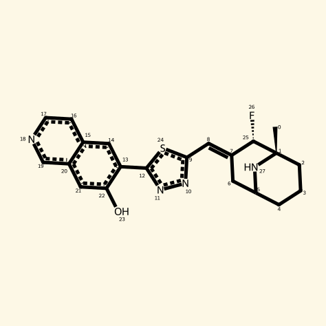 C[C@]12CCCC(C/C(=C\c3nnc(-c4cc5ccncc5cc4O)s3)[C@@H]1F)N2